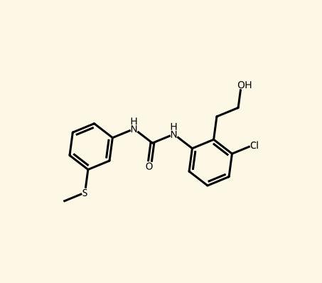 CSc1cccc(NC(=O)Nc2cccc(Cl)c2CCO)c1